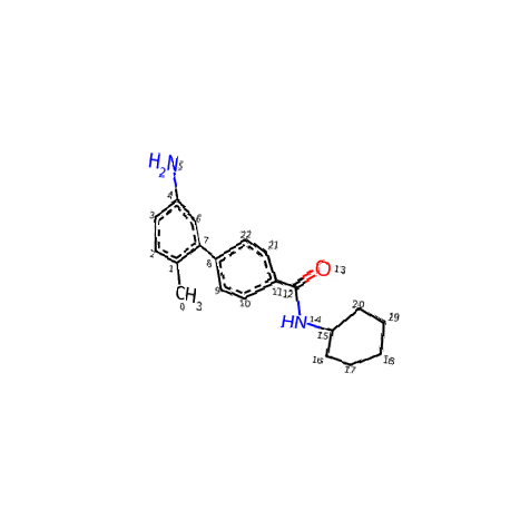 Cc1ccc(N)cc1-c1ccc(C(=O)NC2CCCCC2)cc1